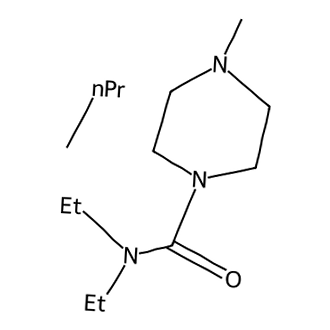 CCCC.CCN(CC)C(=O)N1CCN(C)CC1